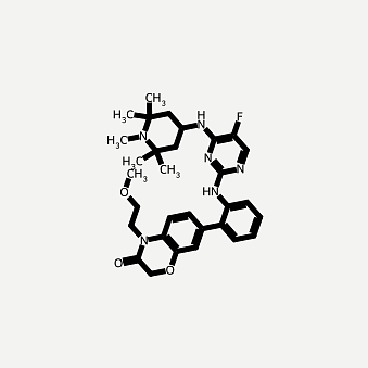 COCCN1C(=O)COc2cc(-c3ccccc3Nc3ncc(F)c(NC4CC(C)(C)N(C)C(C)(C)C4)n3)ccc21